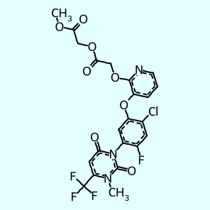 COC(=O)COC(=O)COc1ncccc1Oc1cc(-n2c(=O)cc(C(F)(F)F)n(C)c2=O)c(F)cc1Cl